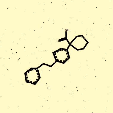 NC(=O)C1(c2ccc(CCc3ccccc3)cc2)CCCCC1